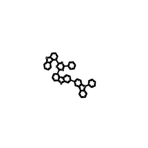 c1ccc(-c2nc(-c3cccc4oc5ccccc5c34)nc(-c3cccc4sc5cc(-c6ccc7c(c6)c6ccccc6n7-c6ccccc6)ccc5c34)n2)cc1